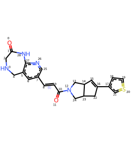 O=C1CNCc2cc(/C=C/C(=O)N3CC4C=C(c5ccsc5)CC4C3)cnc2N1